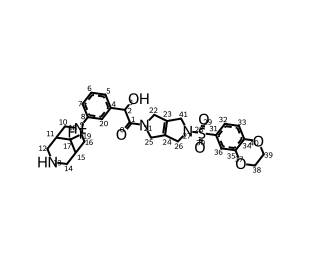 O=C(C(O)c1cccc(N2CC3CNCC(C2)C3(F)F)c1)N1CC2=C(C1)CN(S(=O)(=O)c1ccc3c(c1)OCCO3)C2